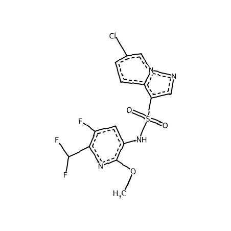 COc1nc(C(F)F)c(F)cc1NS(=O)(=O)c1cnn2cc(Cl)ccc12